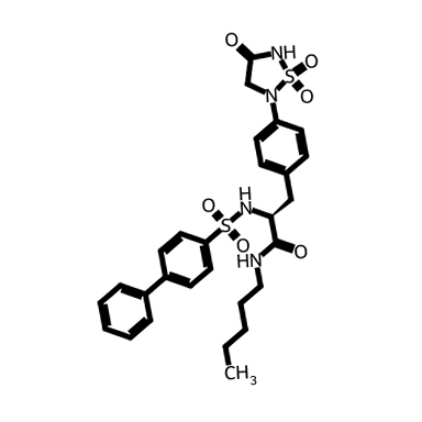 CCCCCNC(=O)[C@H](Cc1ccc(N2CC(=O)NS2(=O)=O)cc1)NS(=O)(=O)c1ccc(-c2ccccc2)cc1